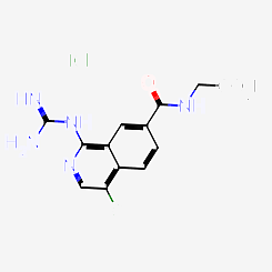 Cl.N=C(N)Nc1ncc(Cl)c2ccc(C(=O)NCC(=O)O)cc12